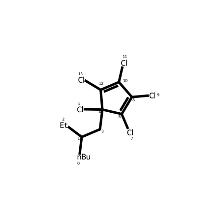 CCCCC(CC)CC1(Cl)C(Cl)=C(Cl)C(Cl)=C1Cl